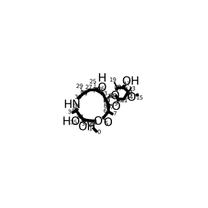 CC[C@H]1OC(=O)C(C)[C@@H](OC2C[C@@](C)(OC)C(O)[C@H](C)O2)[C@H](C)C[C@](C)(O)C[C@@H](C)CNC(C)C(O)C1O